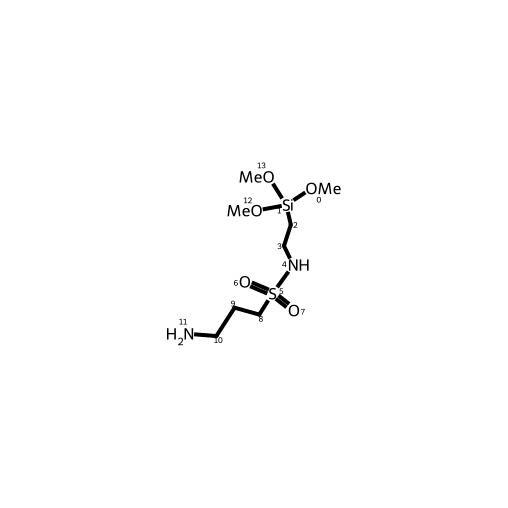 CO[Si](CCNS(=O)(=O)CCCN)(OC)OC